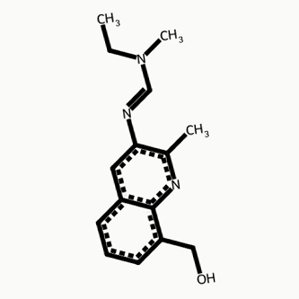 CCN(C)C=Nc1cc2cccc(CO)c2nc1C